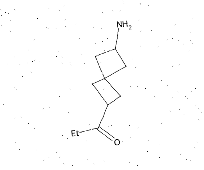 CCC(=O)C1CC2(CC(N)C2)C1